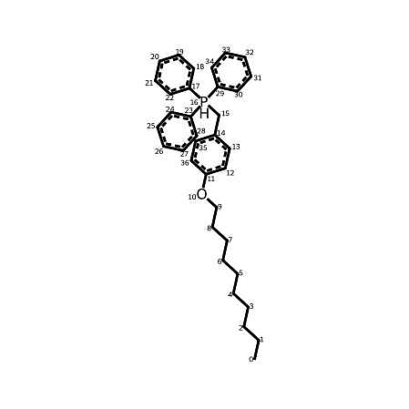 CCCCCCCCCCOc1ccc(C[PH](c2ccccc2)(c2ccccc2)c2ccccc2)cc1